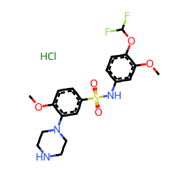 COc1cc(NS(=O)(=O)c2ccc(OC)c(N3CCNCC3)c2)ccc1OC(F)F.Cl